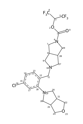 O=C(OC(C(F)(F)F)C(F)(F)F)N1CC2CN(Cc3ccc(Cl)cc3N3CC4COCC4C3)CC2C1